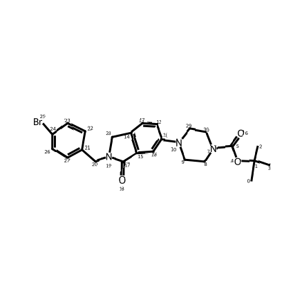 CC(C)(C)OC(=O)N1CCN(c2ccc3c(c2)C(=O)N(Cc2ccc(Br)cc2)C3)CC1